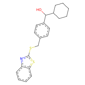 OC(c1ccc(CSc2nc3ccccc3s2)cc1)C1CCCCC1